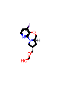 OCOC[C@H]1C[C@H]2COc3c(I)ccnc3N2C1